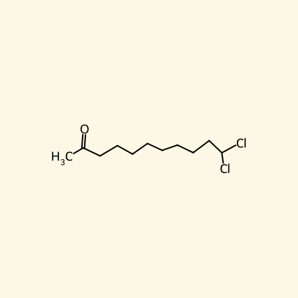 CC(=O)CCCCCCCCC(Cl)Cl